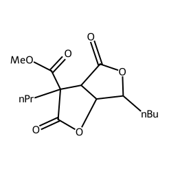 CCCCC1OC(=O)C2C1OC(=O)C2(CCC)C(=O)OC